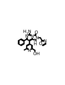 Cc1cc(-c2c(-c3ccccc3)nc(N)[n+]3c(=O)n(Cc4ncco4)[nH]c23)cc(CO)n1